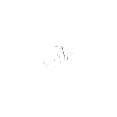 CC12CC3(OCCO3)C(C)(O1)[C@@H]1C(=O)N(c3ccc(C#N)c(C(F)(F)F)c3)C(=O)[C@@H]12